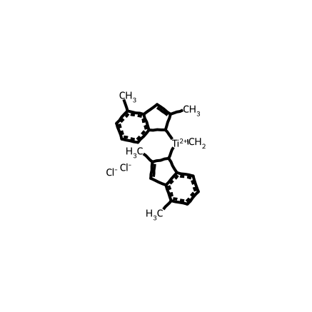 [CH2]=[Ti+2]([CH]1C(C)=Cc2c(C)cccc21)[CH]1C(C)=Cc2c(C)cccc21.[Cl-].[Cl-]